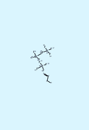 C=CCC.F[B-](F)(F)F.F[B-](F)(F)F.F[B-](F)(F)F